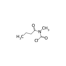 CCCC(=O)N(C)C(=O)Cl